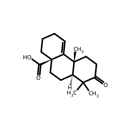 CC1(C)C(=O)CC[C@@]2(C)C3=CCCC[C@@]3(C(=O)O)CC[C@H]12